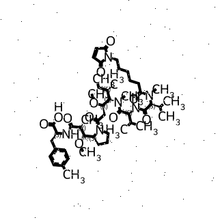 CC[C@H](C)[C@@H]([C@@H](CC(=O)N1CCC[C@H]1[C@H](OC)[C@@H](C)C(=O)N[C@@H](Cc1ccc(C)cc1)C(=O)O)OC)N(C)C(=O)[C@@H](NC(=O)[C@H](C(C)C)N(C)C(=O)CCCCCN1C(=O)C=CC1=O)C(C)C